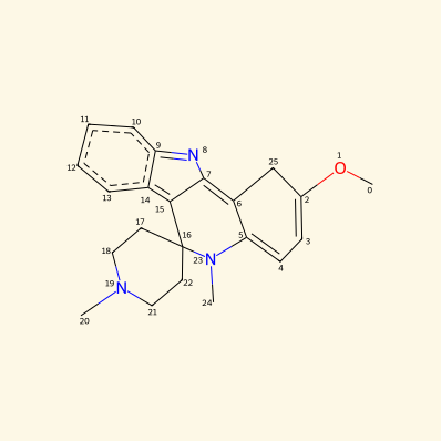 COC1=CC=C2C(=C3N=c4ccccc4=C3C3(CCN(C)CC3)N2C)C1